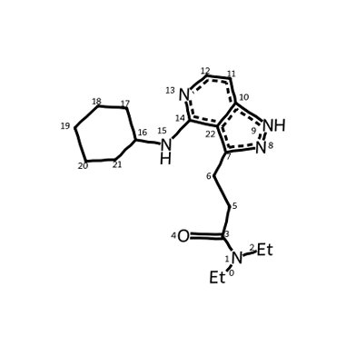 CCN(CC)C(=O)CCc1n[nH]c2ccnc(NC3CCCCC3)c12